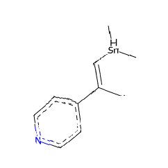 [CH2]C(=[CH][SnH]([CH3])[CH3])c1ccncc1